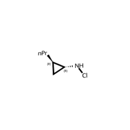 CCC[C@@H]1C[C@H]1NCl